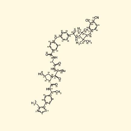 Cc1ncsc1-c1ccc([C@H](C)NC(=O)[C@@H]2C[C@@H](O)CN2C(=O)[C@@H](NC(=O)CNC(=O)c2ccc(Oc3ccc(C(=O)NC4C(C)(C)C(Oc5ccc(C#N)c(Cl)c5)C4(C)C)cn3)cc2)C(C)(C)C)cc1